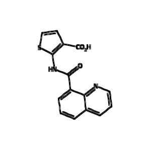 O=C(O)c1ccsc1NC(=O)c1cccc2cccnc12